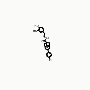 O=C(NCCc1ccc(O)c(O)c1)C12CC3CC(c4ccc(Cl)cc4)CC(C3)(C1)C2